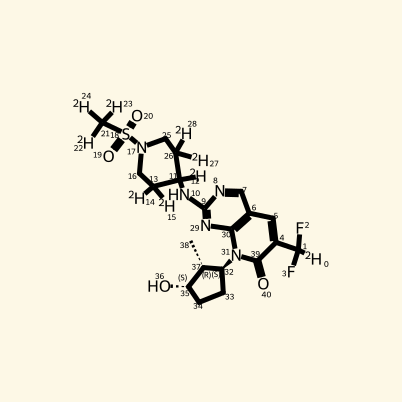 [2H]C(F)(F)c1cc2cnc(NC3([2H])C([2H])([2H])CN(S(=O)(=O)C([2H])([2H])[2H])CC3([2H])[2H])nc2n([C@H]2CC[C@H](O)[C@@H]2C)c1=O